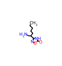 CCCCCC(CN)c1noc(=O)[nH]1